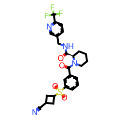 N#CC1CC(S(=O)(=O)c2cccc(C(=O)N3CCCC[C@@H]3C(=O)NCc3ccc(C(F)(F)F)nc3)c2)C1